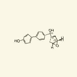 Oc1ccc(-c2ccc([C@@H](O)[C@H]3C[C@@H]4O[C@@H]4C3)cc2)cc1